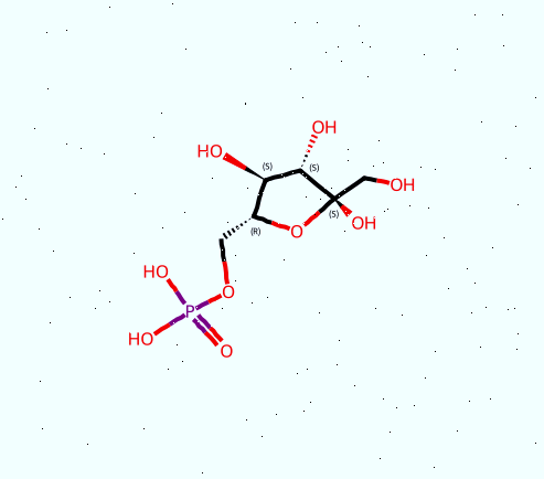 O=P(O)(O)OC[C@H]1O[C@@](O)(CO)[C@@H](O)[C@@H]1O